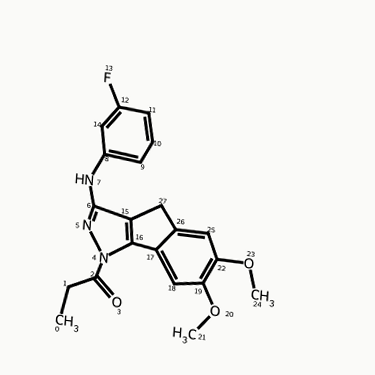 CCC(=O)n1nc(Nc2cccc(F)c2)c2c1-c1cc(OC)c(OC)cc1C2